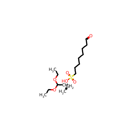 C=C.CCOC(C)OCC.O=CCCCCCCCS(=O)(=O)O